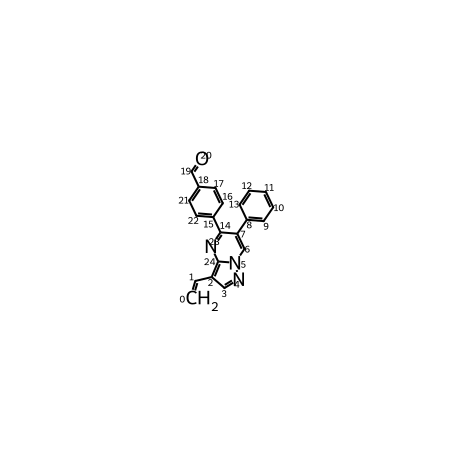 C=Cc1cnn2cc(-c3ccccc3)c(-c3ccc(C=O)cc3)nc12